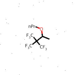 CCCOC(C)C(C(F)(F)F)(C(F)(F)F)C(F)(F)F